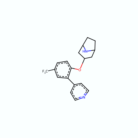 FC(F)(F)c1ccc(OC2CC3CCC(C2)N3)c(-c2ccncc2)c1